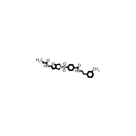 C=CC(=O)Nc1cc2c(o1)CN(S(=O)(=O)c1ccc(C(=O)NCCc3cccc(C)c3)cc1)C2